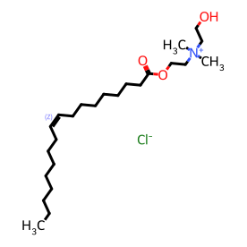 CCCCCCCC/C=C\CCCCCCCC(=O)OCC[N+](C)(C)CCO.[Cl-]